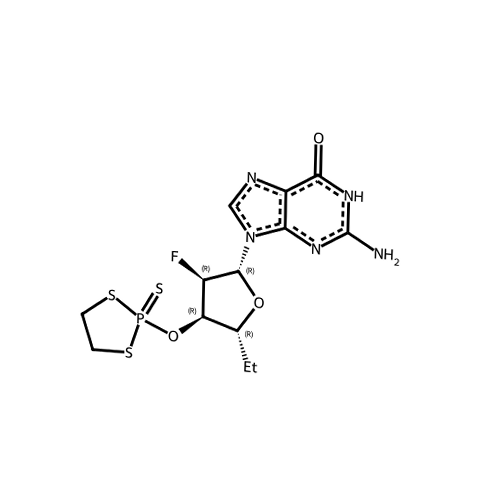 CC[C@H]1O[C@@H](n2cnc3c(=O)[nH]c(N)nc32)[C@H](F)[C@@H]1OP1(=S)SCCS1